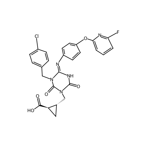 O=C(O)[C@@H]1C[C@H]1Cn1c(=O)[nH]/c(=N\c2ccc(Oc3cccc(F)n3)cc2)n(Cc2ccc(Cl)cc2)c1=O